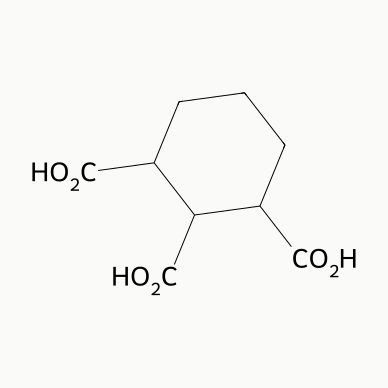 O=C(O)C1CCCC(C(=O)O)C1C(=O)O